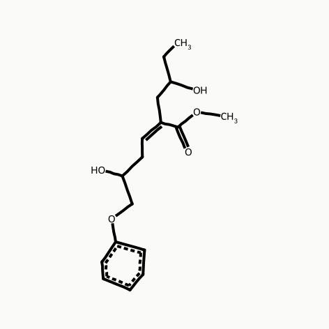 CCC(O)CC(=CCC(O)COc1ccccc1)C(=O)OC